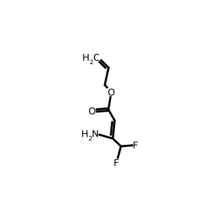 C=CCOC(=O)C=C(N)C(F)F